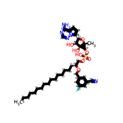 CCCCCCCCCCCCCCCC[C@@H](COP(=O)(O)OC1[C@@]2(C)O[C@@H](c3ccc4c(N)ncnn34)[C@H](O)[C@@]12O)OCc1cc(F)cc(C#N)c1